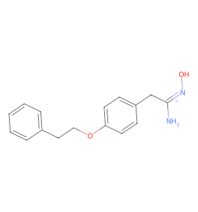 N/C(Cc1ccc(OCCc2ccccc2)cc1)=N/O